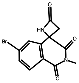 CN1C(=O)c2ccc(Br)cc2C2(CC(=O)N2)C1=O